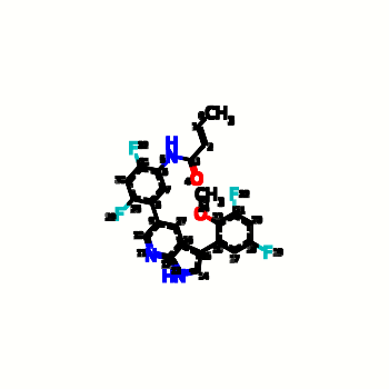 C/C=C/C(=O)Nc1cc(-c2cnc3[nH]cc(-c4cc(F)cc(F)c4OC)c3c2)c(F)cc1F